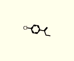 C=C(CC)c1ccc(Cl)cc1